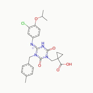 Cc1ccc(Cn2c(=O)n(CC3(C(=O)O)CC3)c(=O)[nH]/c2=N\c2ccc(OC(C)C)c(Cl)c2)cc1